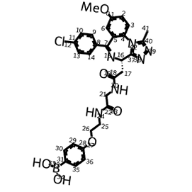 COc1ccc2c(c1)C(c1ccc(Cl)cc1)=N[C@@H](CC(=O)NCC(=O)NCCOc1ccc(B(O)O)cc1)c1nnc(C)n1-2